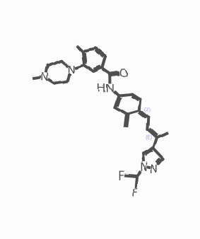 C=c1cc(NC(=O)c2ccc(C)c(N3CCN(C)CC3)c2)cc/c1=C/C=C(\C)c1cnn(C(F)F)c1